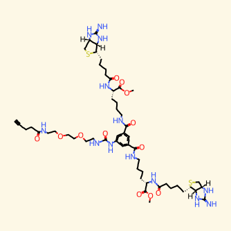 C#CCCC(=O)NCCOCCOCCNC(=O)Nc1cc(C(=O)NCCCC[C@H](NC(=O)CCCC[C@@H]2SC[C@@H]3NC(=N)N[C@@H]32)C(=O)OC)cc(C(=O)NCCCC[C@H](NC(=O)CCCC[C@@H]2SC[C@@H]3NC(=N)N[C@@H]32)C(=O)OC)c1